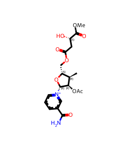 COC(=O)[C@@H](O)CC(=O)OC[C@H]1O[C@@H]([n+]2cccc(C(N)=O)c2)[C@H](OC(C)=O)[C@@H]1C